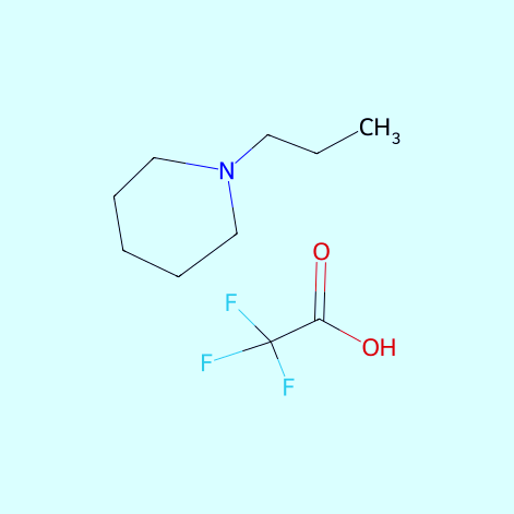 CCCN1CCCCC1.O=C(O)C(F)(F)F